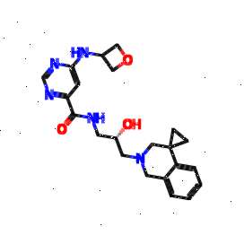 O=C(NC[C@H](O)CN1Cc2ccccc2C2(CC2)C1)c1cc(NC2COC2)ncn1